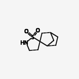 O=S1(=O)NCCC12CC1CCC2C1